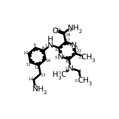 CCN(C)c1nc(Nc2cccc(CCN)c2)c(C(N)=O)nc1C